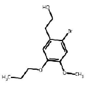 CCCOc1cc(CCO)c(Br)cc1OC